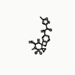 Cc1cc(C(=O)Nc2ccc3c(c2)[C@@]2(C3)NC(=N)N(C)S(=O)(=O)C23CC3)no1